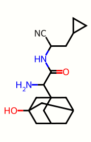 N#CC(CC1CC1)NC(=O)C(N)C12CC3CC(CC(O)(C3)C1)C2